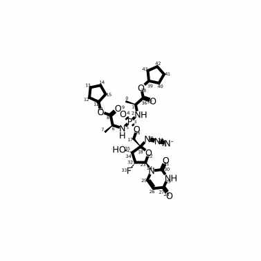 C[C@H](NP(=O)(N[C@@H](C)C(=O)OC1CCCC1)OC[C@@]1(N=[N+]=[N-])O[C@@H](n2ccc(=O)[nH]c2=O)[C@H](F)[C@@H]1O)C(=O)OC1CCCC1